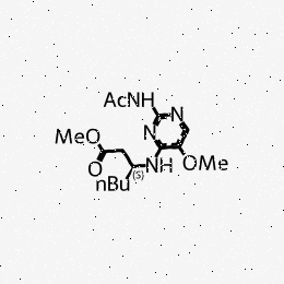 CCCC[C@@H](CC(=O)OC)Nc1nc(NC(C)=O)ncc1OC